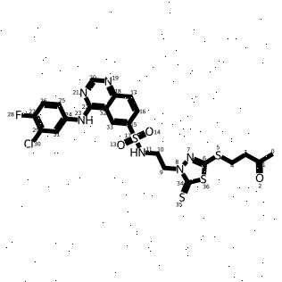 CC(=O)CCSc1nn(CCNS(=O)(=O)c2ccc3ncnc(Nc4ccc(F)c(Cl)c4)c3c2)c(=S)s1